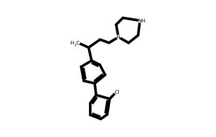 CC(CCN1CCNCC1)c1ccc(-c2ccccc2Cl)cc1